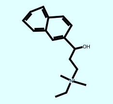 CC[N+](C)(C)CCC(O)c1ccc2ccccc2c1